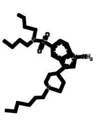 CCCCCCN1CCC(c2cn(N)c3ccc(S(=O)(=O)N(CCCC)CCCC)cc23)CC1